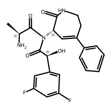 C[C@H](N)C(=O)N(C(=O)[C@@H](O)c1cc(F)cc(F)c1)[C@H]1C=C(c2ccccc2)CCNC1=O